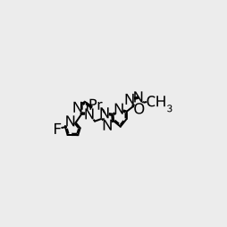 CCCn1c(Cn2ccnc2-c2cccc(F)n2)nc2ccc(-c3nnc(C)o3)nc21